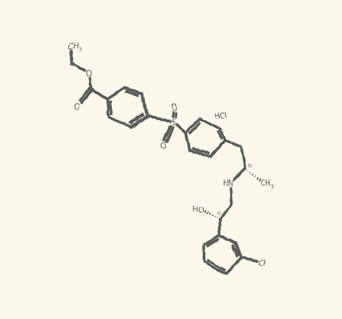 CCOC(=O)c1ccc(S(=O)(=O)c2ccc(C[C@H](C)NC[C@@H](O)c3cccc(Cl)c3)cc2)cc1.Cl